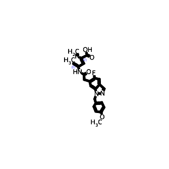 C=N/C(=C\C(=C/C)NC(=O)Cc1cc2c(cnn2Cc2ccc(OC)cc2)cc1F)C(=O)O